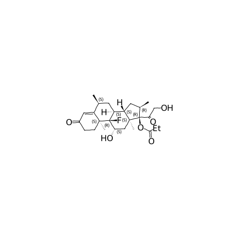 CCC(=O)O[C@]1(C(=O)CO)[C@H](C)C[C@H]2[C@@H]3C[C@H](C)C4=CC(=O)CC[C@]4(C)[C@@]3(F)[C@@H](O)C[C@@]21C